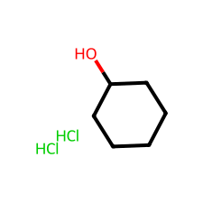 Cl.Cl.OC1CCCCC1